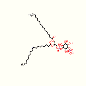 CCCCCCCC/C=C\CCCCCCCC(=O)O[C@H](COC(=O)CCCCCCCCCCCCCCC)COP(=O)(O)O[C@H]1C(O)C(O)C(O)[C@@H](OP(=O)(O)O)C1O